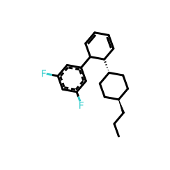 CCC[C@H]1CC[C@H](C2C=CC=CC2c2cc(F)cc(F)c2)CC1